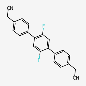 N#CCc1ccc(-c2cc(F)c(-c3ccc(CC#N)cc3)cc2F)cc1